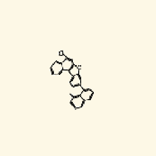 Cc1cccc2cccc(-c3ccc4c(c3)oc3cc(Cl)c5ccccc5c34)c12